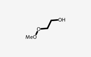 COOCCO